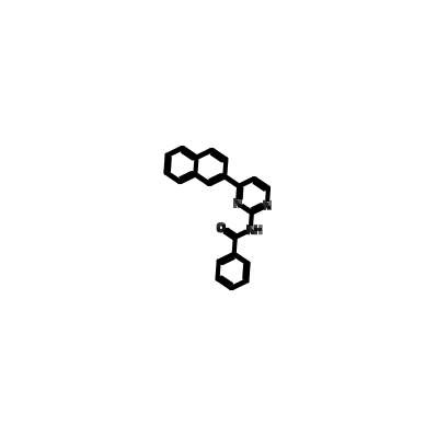 O=C(Nc1nccc(-c2ccc3ccccc3c2)n1)c1ccccc1